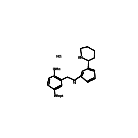 CCCCCCCc1ccc(OC)c(CNc2cccc([C@@H]3CCCCN3)c2)c1.Cl